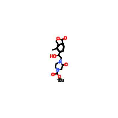 Cc1c(C(O)CN2CCN(C(=O)OC(C)(C)C)CC2=O)ccc2c1COC2=O